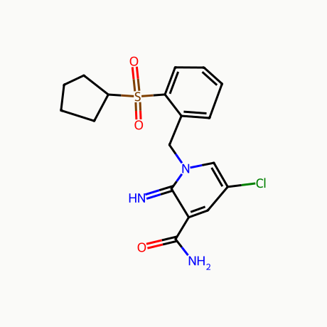 N=c1c(C(N)=O)cc(Cl)cn1Cc1ccccc1S(=O)(=O)C1CCCC1